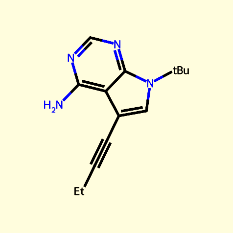 CCC#Cc1cn(C(C)(C)C)c2ncnc(N)c12